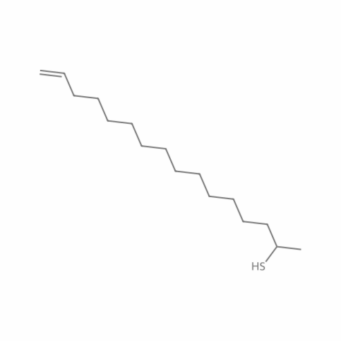 C=CCCCCCCCCCCCCC(C)S